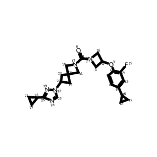 O=C(N1CC(Oc2ccc(C3CC3)cc2F)C1)N1CC2(CC(n3cnc(C4CC4)n3)C2)C1